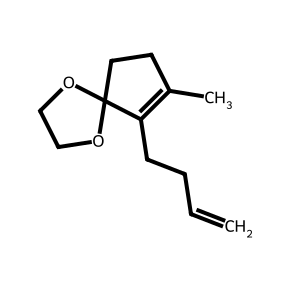 C=CCCC1=C(C)CCC12OCCO2